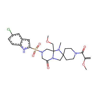 C=C(OC)C(=O)N1CCC2(CC1)CN1C(=O)CN(S(=O)(=O)c3cc4cc(Cl)ccc4[nH]3)CC1(COC)N2C